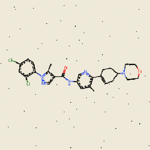 Cc1cc(NC(=O)c2cnn(-c3ccc(Cl)cc3Cl)c2C)cnc1C1=CCC(N2CCOCC2)CC1